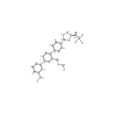 COCOc1cc(-c2cnnc(OC)c2)ccc1-c1ccc(N2CC[C@@H](NC(C)(C)C)C2)nn1